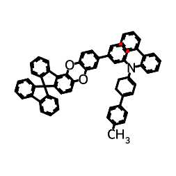 Cc1ccc(C2=CC=C(N(c3cccc(-c4ccc5c(c4)Oc4ccc6c(c4O5)-c4ccccc4C64c5ccccc5-c5ccccc54)c3)c3ccccc3-c3ccccc3)CC2)cc1